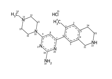 Cc1cc2c(cc1-c1cc(N3CCN(C)CC3)nc(N)n1)CNCC2.Cl